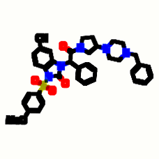 COc1ccc(S(=O)(=O)n2c(=O)n(C(C(=O)N3CC[C@@H](N4CCN(Cc5ccccc5)CC4)C3)c3ccccc3)c3cc(C#N)ccc32)cc1